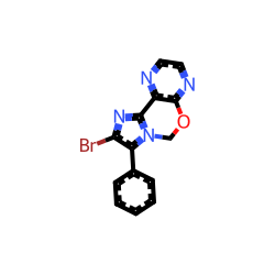 Brc1nc2n(c1-c1ccccc1)COc1nccnc1-2